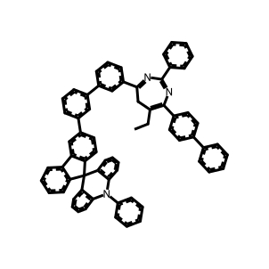 CCC1=C(c2ccc(-c3ccccc3)cc2)N=C(c2ccccc2)N=C(c2cccc(-c3cccc(-c4ccc5c(c4)-c4ccccc4C54c5ccccc5N(c5ccccc5)c5ccccc54)c3)c2)C1